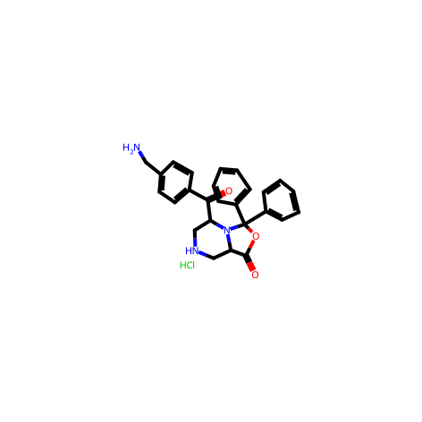 Cl.NCc1ccc(C(=O)C2CNCC3C(=O)OC(c4ccccc4)(c4ccccc4)N32)cc1